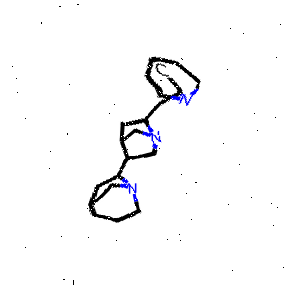 C1CC2CC(C3CN4CC3CC4C3CC4CCN3CC4)N(C1)C2